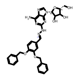 Nc1nc(N/N=C/c2ccc(OCc3ccccc3)c(OCc3ccccc3)c2)nc2c1ncn2[C@@H]1O[C@H](CO)C(O)C1O